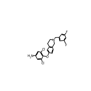 Nc1cc(Cl)c(Oc2ccc3c(c2)CCN(Cc2cc(F)cc(F)c2)C3)c(Cl)c1